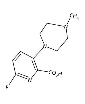 CN1CCN(c2ccc(F)nc2C(=O)O)CC1